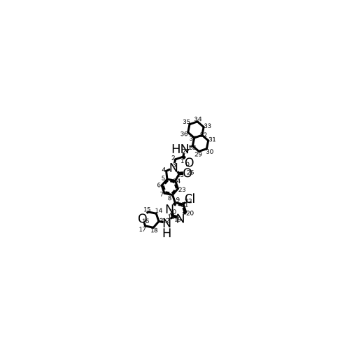 O=C(CN1Cc2ccc(-c3nc(NC4CCOCC4)ncc3Cl)cc2C1=O)N[C@H]1CCCC2CCCCC21